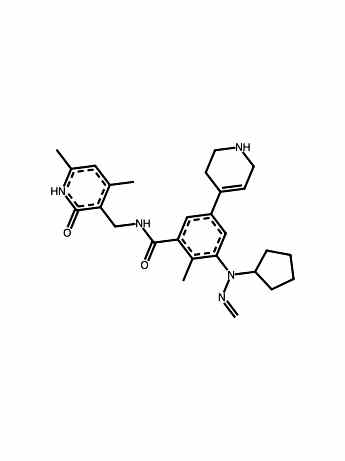 C=NN(c1cc(C2=CCNCC2)cc(C(=O)NCc2c(C)cc(C)[nH]c2=O)c1C)C1CCCC1